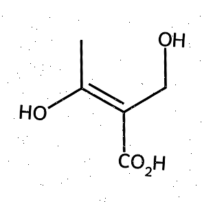 CC(O)=C(CO)C(=O)O